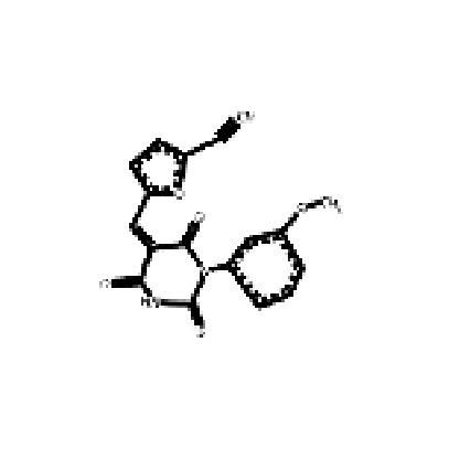 C#Cc1ccc(C=C2C(=O)NC(=S)N(c3cccc(OC)c3)C2=O)o1